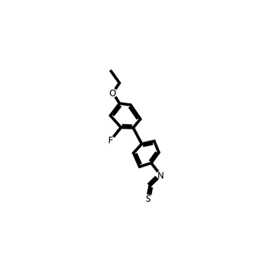 CCOc1ccc(-c2ccc(N=C=S)cc2)c(F)c1